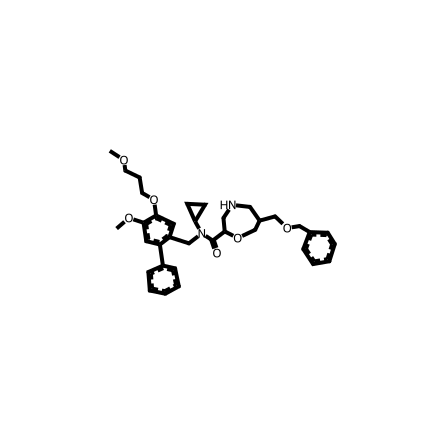 COCCCOc1cc(CN(C(=O)C2CNCC(COCc3ccccc3)CO2)C2CC2)c(-c2ccccc2)cc1OC